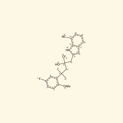 COc1ccc(F)cc1C(C)(C)CC(O)(Cc1cc2cccc(C#N)c2[nH]1)C(F)(F)F